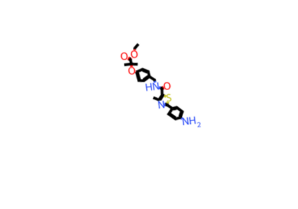 CCOC(=O)C(C)(C)Oc1ccc(CNC(=O)c2sc(-c3ccc(N)cc3)nc2C)cc1